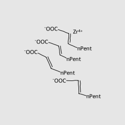 CCCCCC=CC(=O)[O-].CCCCCC=CC(=O)[O-].CCCCCC=CC(=O)[O-].CCCCCC=CC(=O)[O-].[Zr+4]